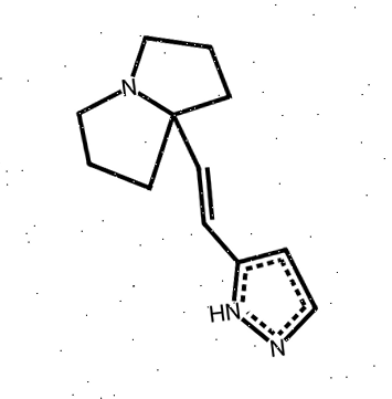 C(=CC12CCCN1CCC2)c1ccn[nH]1